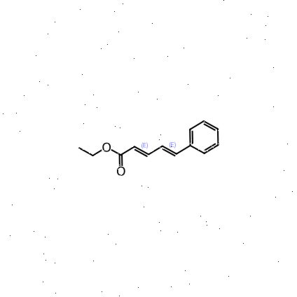 CCOC(=O)/C=C/C=C/c1ccccc1